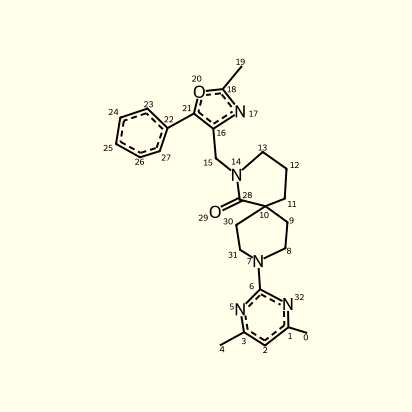 Cc1cc(C)nc(N2CCC3(CCCN(Cc4nc(C)oc4-c4ccccc4)C3=O)CC2)n1